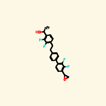 CCCC(O)c1ccc(CCc2ccc(-c3ccc(C4CO4)c(F)c3F)cc2)c(F)c1F